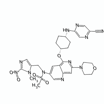 Cn1c(CN(c2cnc3cc(N4CCOCC4)nc(O[C@H]4CC[C@@H](Nc5cnc(C#N)cn5)CC4)c3c2)S(C)(=O)=O)cnc1[N+](=O)[O-]